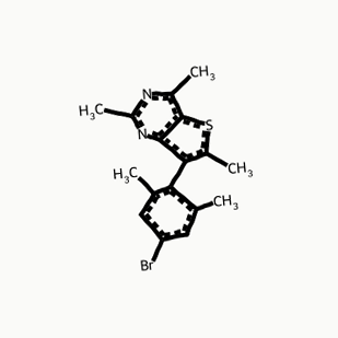 Cc1nc(C)c2sc(C)c(-c3c(C)cc(Br)cc3C)c2n1